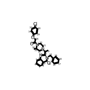 CC(c1nc2ccccc2c(=O)n1Cc1ccccc1)N1CCN(C(=O)COc2ccc(Cl)cc2)C(C)C1